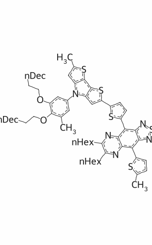 CCCCCCCCCCCCOc1cc(-n2c3cc(C)sc3c3sc(-c4ccc(-c5c6nsnc6c(-c6ccc(C)s6)c6nc(CCCCCC)c(CCCCCC)nc56)s4)cc32)cc(C)c1OCCCCCCCCCCCC